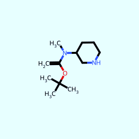 C=C(OC(C)(C)C)N(C)C1CCCNC1